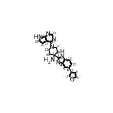 NC1(c2nc3cc(-c4ccoc4)ccc3[nH]2)CCN(c2ncnc3[nH]ccc23)CC1